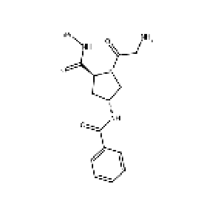 CC(C)NC(=O)[C@@H]1C[C@@H](NC(=O)c2ccccc2)CN1C(=O)CN